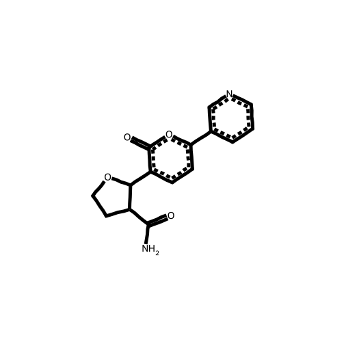 NC(=O)C1CCOC1c1ccc(-c2cccnc2)oc1=O